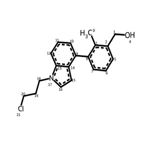 Cc1c(CO)cccc1-c1cccc2c1ccn2CCCCl